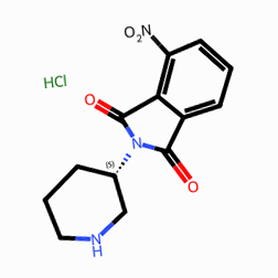 Cl.O=C1c2cccc([N+](=O)[O-])c2C(=O)N1[C@H]1CCCNC1